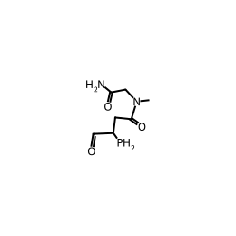 CN(CC(N)=O)C(=O)CC(P)C=O